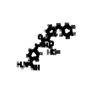 COC(C(=O)NCc1ccc(C(=N)N)cc1)c1ccn(Cc2ccccc2)n1.Cl